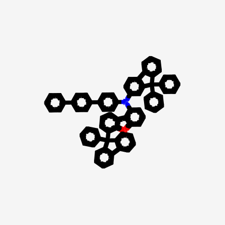 c1ccc(-c2ccc(-c3ccc(N(c4ccc5c(c4)C(c4ccccc4)(c4ccccc4)c4ccccc4-5)c4cccc5oc6c(C7(c8ccccc8)c8ccccc8-c8ccccc87)cccc6c45)cc3)cc2)cc1